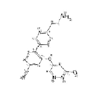 N#Cc1ccc(-c2ccc(CCN)nc2)c(Oc2cnnc(Cl)c2)c1